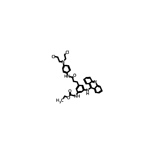 CCOC(=O)Nc1cc(CCC(=O)Nc2ccc(N(CCCl)CCCl)cc2)cc(Nc2c3ccccc3nc3ccccc23)c1